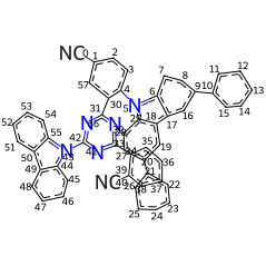 N#Cc1ccc(-n2c3ccc(-c4ccccc4)cc3c3cc(-c4ccccc4)ccc32)c(-c2nc(-c3ccccc3C#N)nc(-n3c4ccccc4c4ccccc43)n2)c1